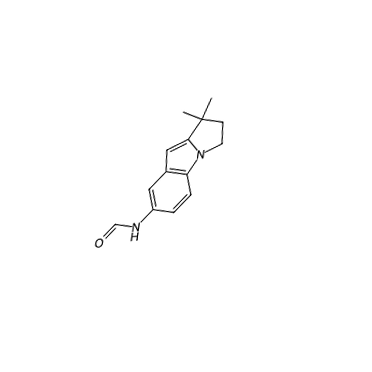 CC1(C)CCn2c1cc1cc(NC=O)ccc12